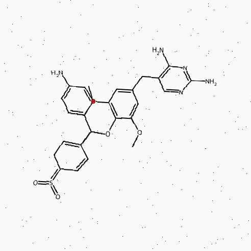 COc1cc(Cc2cnc(N)nc2N)cc(OC)c1OC(C1=CCC(=S(=O)=O)C=C1)c1ccc(N)cc1